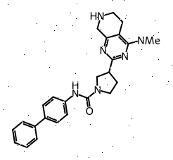 CNc1nc(C2CCN(C(=O)Nc3ccc(-c4ccccc4)cc3)C2)nc2c1CCNC2